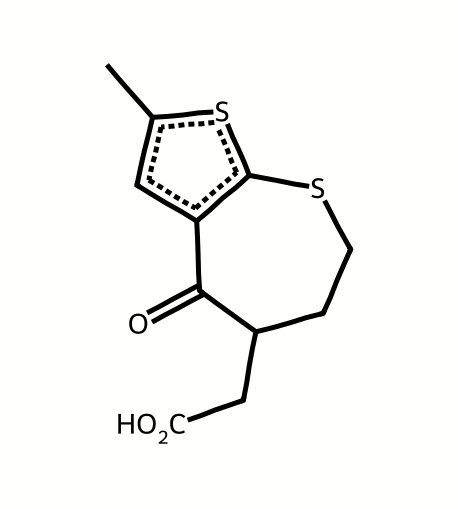 Cc1cc2c(s1)SCCC(CC(=O)O)C2=O